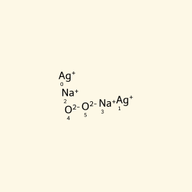 [Ag+].[Ag+].[Na+].[Na+].[O-2].[O-2]